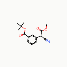 COC(=O)C(C#N)c1cccc(C(=O)OC(C)(C)C)c1